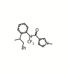 CC(C)CC(C)c1ccccc1N(C(=O)c1ccn(C)c1)C(F)(F)F